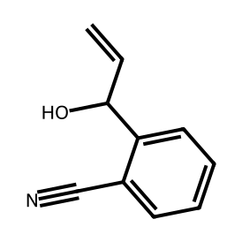 C=CC(O)c1ccccc1C#N